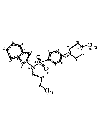 CCCCN(c1cc2ccccc2s1)S(=O)(=O)c1ccc(N2CCN(C)CC2)cc1